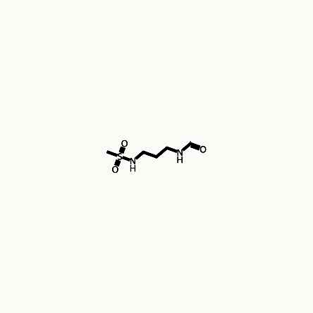 CS(=O)(=O)NCCCN[C]=O